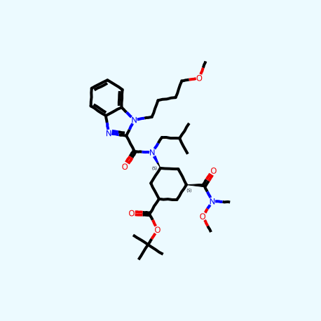 COCCCCn1c(C(=O)N(CC(C)C)[C@@H]2CC(C(=O)OC(C)(C)C)C[C@H](C(=O)N(C)OC)C2)nc2ccccc21